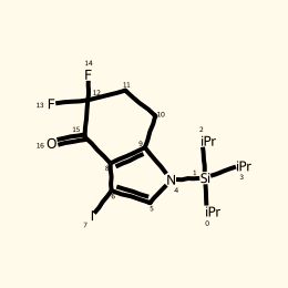 CC(C)[Si](C(C)C)(C(C)C)n1cc(I)c2c1CCC(F)(F)C2=O